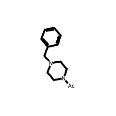 CC(=O)N1CCN(Cc2[c]cccc2)CC1